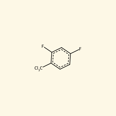 Fc1ccc(C(Cl)(Cl)Cl)c(F)c1